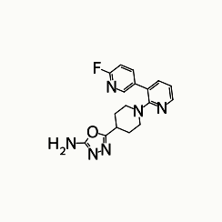 Nc1nnc(C2CCN(c3ncccc3-c3ccc(F)nc3)CC2)o1